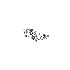 CCn1nc(C(=O)NCC2CCC(S(C)(=O)=O)CC2)c(Cl)c1-c1cnc(NC2CC2C(F)(F)F)cc1OC